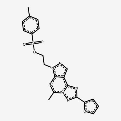 Cc1ccc(S(=O)(=O)OCCn2ncc3c2nc(C)n2nc(-c4ccco4)nc32)cc1